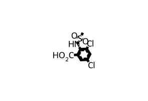 CS(=O)(=O)Nc1c(Cl)cc(Cl)cc1C(=O)O